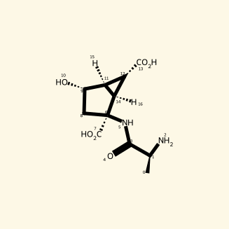 C[C@H](N)C(=O)N[C@@]1(C(=O)O)C[C@H](O)[C@H]2[C@H](C(=O)O)[C@H]21